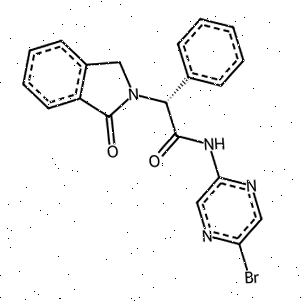 O=C(Nc1cnc(Br)cn1)[C@@H](c1ccccc1)N1Cc2ccccc2C1=O